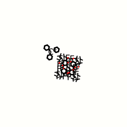 CC(C)[Si](c1c(F)c(F)c([B-](c2c(F)c(F)c([Si](C(C)C)(C(C)C)C(C)C)c(F)c2F)(c2c(F)c(F)c([Si](C(C)C)(C(C)C)C(C)C)c(F)c2F)c2c(F)c(F)c([Si](C(C)C)(C(C)C)C(C)C)c(F)c2F)c(F)c1F)(C(C)C)C(C)C.c1ccc([C+](c2ccccc2)c2ccccc2)cc1